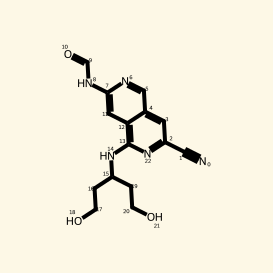 N#Cc1cc2cnc(NC=O)cc2c(NC(CCO)CCO)n1